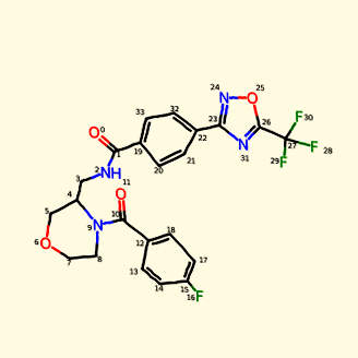 O=C(NCC1COCCN1C(=O)c1ccc(F)cc1)c1ccc(-c2noc(C(F)(F)F)n2)cc1